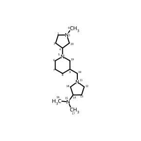 CN1CCC(N2CCCC(CN3CCC(N(C)C)C3)C2)C1